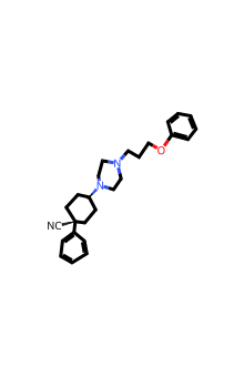 N#C[C@]1(c2ccccc2)CC[C@H](N2CCN(CCCOc3ccccc3)CC2)CC1